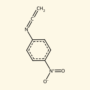 C=C=Nc1ccc([N+](=O)[O-])cc1